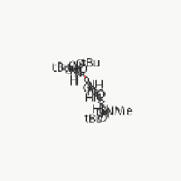 CN/C(=N/C(=O)OC(C)(C)C)NCc1ccc(NC(=O)c2ccc(C(=O)Nc3ccc(C4=CCN(/C(=N\C(=O)OC(C)(C)C)NC(=O)OC(C)(C)C)CC4)cc3)nc2)cc1